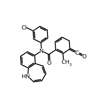 CC1=C(C(=O)N(c2cccc(Cl)c2)c2cccc3c2C=CC=CN3)C=CCC1=C=O